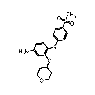 CS(=O)(=O)c1ccc(Sc2ccc(N)cc2OC2CCOCC2)cc1